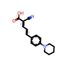 N#C/C(=C\C=C\c1ccc(N2CCCCC2)cc1)C(=O)O